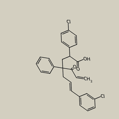 C=CC(=O)C(CC=Cc1cccc(Cl)c1)(CC(C(=O)O)c1ccc(Cl)cc1)c1ccccc1